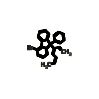 C=C/C(=C\C=C/C)C1(c2ccccc2)c2ccccc2-c2c(Br)cccc21